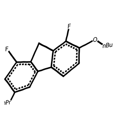 CCCCOc1ccc2c(c1F)Cc1c(F)cc(CCC)cc1-2